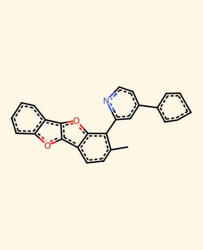 Cc1ccc2c(oc3c4ccccc4oc23)c1-c1cc(-c2ccccc2)ccn1